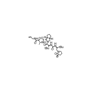 C=CCNC(=O)C(=O)C(C)NC(=O)[C@@H]1[C@H]2CCC[C@H]2CN1C(=O)[C@@H](NC(=O)N[C@H](CN1CCCS1(=O)=O)C(C)(C)C)C(C)(C)C